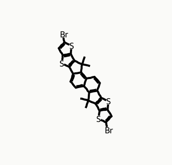 CC1(C)c2c(ccc3c4c(ccc23)-c2sc3cc(Br)sc3c2C4(C)C)-c2sc3cc(Br)sc3c21